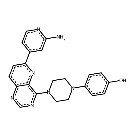 Nc1cc(-c2ccc3ncnc(N4CCN(c5ccc(O)cc5)CC4)c3n2)ccn1